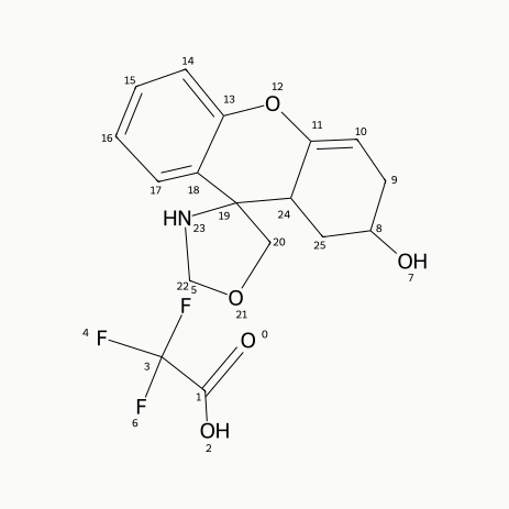 O=C(O)C(F)(F)F.OC1CC=C2Oc3ccccc3C3(COCN3)C2C1